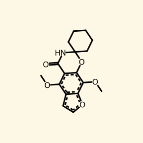 COc1c2c(c(OC)c3occc13)OC1(CCCCC1)NC2=O